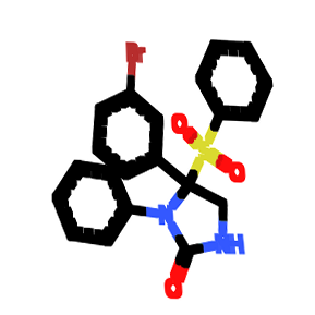 O=C1NCC(c2cccc(Br)c2)(S(=O)(=O)c2ccccc2)N1c1ccccc1